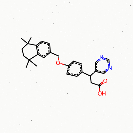 CC1(C)CCC(C)(C)c2cc(COc3ccc(C(CC(=O)O)c4cncnc4)cc3)ccc21